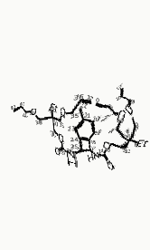 C=CCOCC(CC)(COCC=C)COC(=O)NC1c2ccc(C)cc2C1NC(=O)OCC(CC)(COCC=C)COCC=C